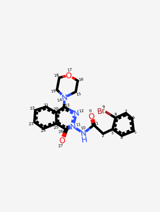 O=C(Cc1ccccc1Br)Nn1nc(N2CCOCC2)c2ccccc2c1=O